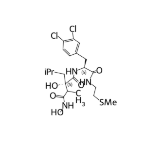 CSCCNC(=O)[C@H](Cc1ccc(Cl)c(Cl)c1)NC(=O)[C@](O)(CC(C)C)C(C)C(=O)NO